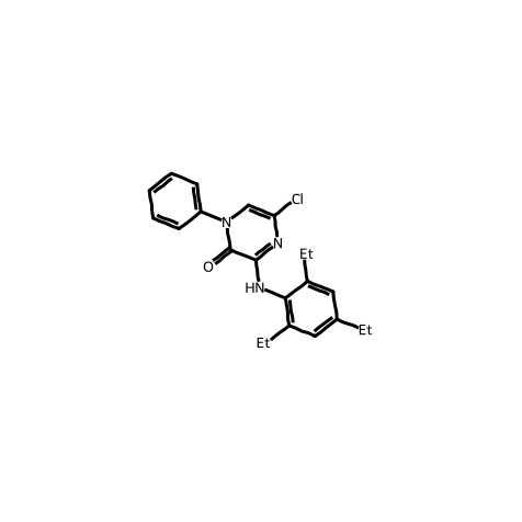 CCc1cc(CC)c(Nc2nc(Cl)cn(-c3ccccc3)c2=O)c(CC)c1